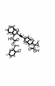 CC(OC(=O)Nc1c(C#Cc2cc3sc(C4(C(=O)O)CC4)cc3s2)oc2cnccc12)c1ccccc1Cl